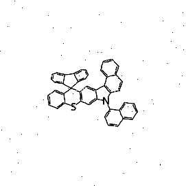 c1ccc2c(c1)Sc1cc3c(cc1C21c2ccccc2-c2ccccc21)c1c2ccccc2ccc1n3-c1cccc2ccccc12